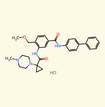 COCc1ccc(C(=O)Nc2ccc(-c3ccccc3)cc2)cc1NC(=O)C1(N2CCN(C)CC2)CC1.Cl